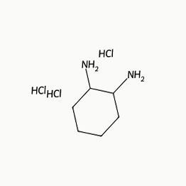 Cl.Cl.Cl.NC1CCCCC1N